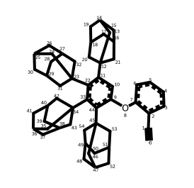 [C]#Cc1ccccc1Oc1cc(C23CC4CC(CC(C4)C2)C3)c(C23CC4CC(CC(C4)C2)C3)c(C23CC4CC(CC(C4)C2)C3)c1C12CC3CC(CC(C3)C1)C2